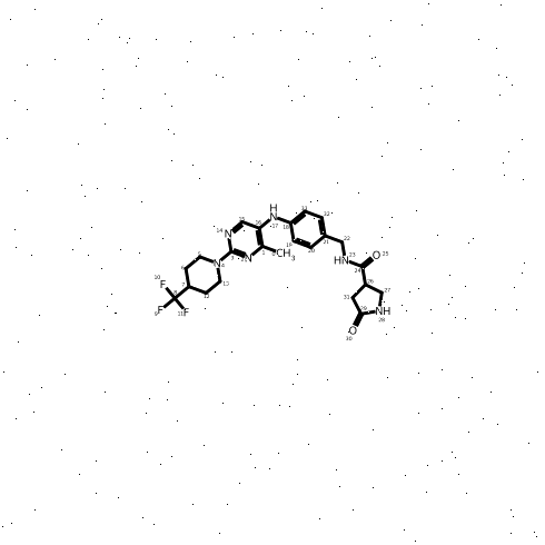 Cc1nc(N2CCC(C(F)(F)F)CC2)ncc1Nc1ccc(CNC(=O)C2CNC(=O)C2)cc1